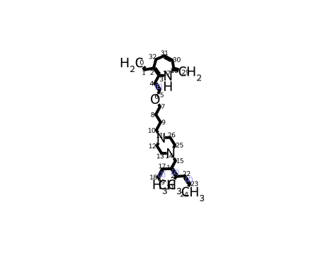 C=CC1=C(/C=C/OCCCCN2CCN(CC(/C=C\C)=C(C)\C=C/C)CC2)NC(=C)C=CC1